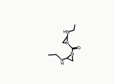 CCNC1CN1C(=O)N1CC1NCC